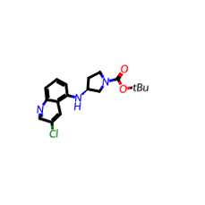 CC(C)(C)OC(=O)N1CC[C@H](Nc2cccc3ncc(Cl)cc23)C1